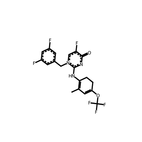 CC1=C(Nc2nc(=O)c(F)cn2Cc2cc(F)cc(F)c2)CCC(OC(F)(F)F)=C1